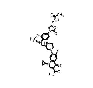 CCN(CC1CN(c2cc3c(cc2F)c(=O)c(C(=O)O)cn3C2CC2)CCN1)c1ccc(N2C[C@H](CNC(C)=O)OC2=O)cc1F